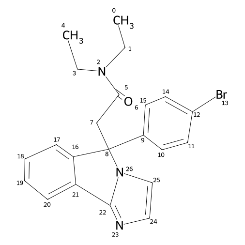 CCN(CC)C(=O)CC1(c2ccc(Br)cc2)c2ccccc2-c2nccn21